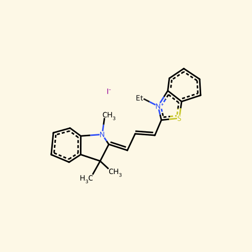 CC[n+]1c(C=CC=C2N(C)c3ccccc3C2(C)C)sc2ccccc21.[I-]